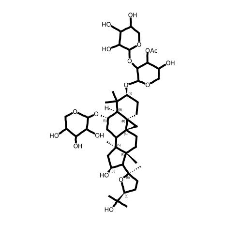 CC(=O)OC1C(O)COC(O[C@H]2CC[C@]34C[C@]35CC[C@]3(C)C([C@@]6(C)CC[C@@H](C(C)(C)O)O6)[C@@H](O)C[C@@]3(C)C5C[C@H](OC3OCC(O)C(O)C3O)[C@H]4C2(C)C)C1OC1OCC(O)C(O)C1O